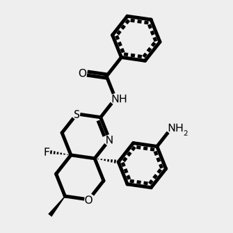 C[C@H]1C[C@@]2(F)CSC(NC(=O)c3ccccc3)=N[C@@]2(c2cccc(N)c2)CO1